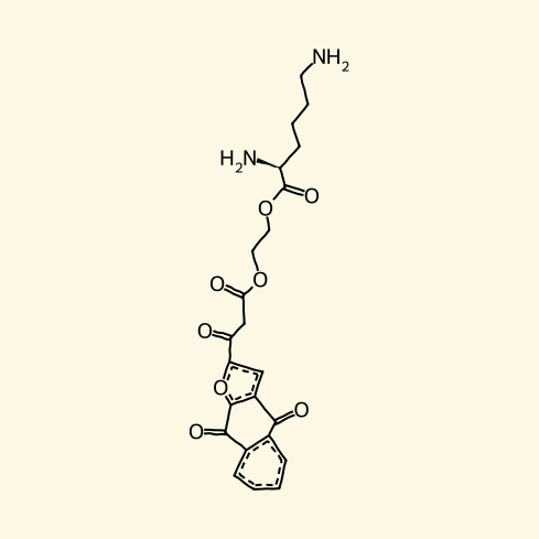 NCCCC[C@H](N)C(=O)OCCOC(=O)CC(=O)c1cc2c(o1)C(=O)c1ccccc1C2=O